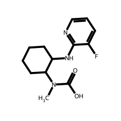 CN(C(=O)O)C1CCCCC1Nc1ncccc1F